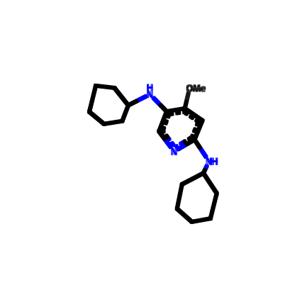 COc1cc(NC2CCCCC2)ncc1NC1CCCCC1